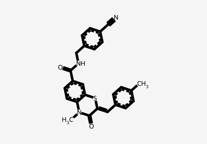 Cc1ccc(/C=C2\Sc3cc(C(=O)NCc4ccc(C#N)cc4)ccc3N(C)C2=O)cc1